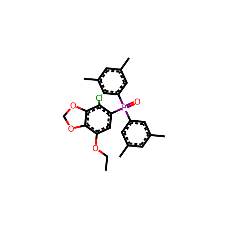 CCOc1cc(P(=O)(c2cc(C)cc(C)c2)c2cc(C)cc(C)c2)c(Cl)c2c1OCO2